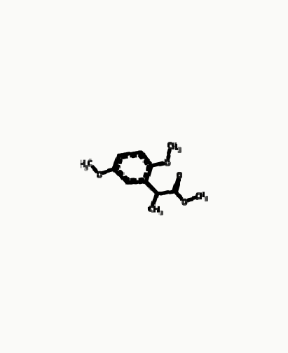 COC(=O)C(C)c1cc(OC)ccc1OC